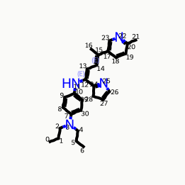 CCCN(CCC)c1ccc(N/C(=C/C=C(\C)c2ccc(C)nc2)C2=NC=CC2)cc1